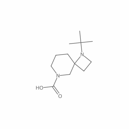 CC(C)(C)N1CCC12CCCN(C(=O)O)C2